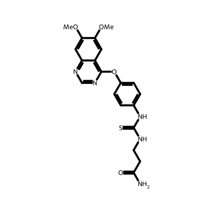 COc1cc2ncnc(Oc3ccc(NC(=S)NCCC(N)=O)cc3)c2cc1OC